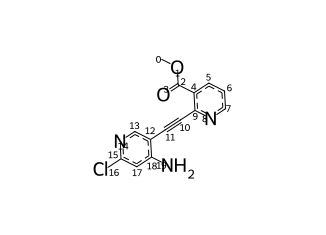 COC(=O)c1cccnc1C#Cc1cnc(Cl)cc1N